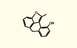 Cc1oc2cccc3c2c1-c1c(O)cccc1C3